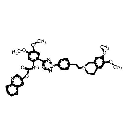 COc1cc2c(cc1OC)CN(CCc1ccc(-n3nnc(-c4cc(OC)c(OC)cc4NC(=O)Oc4cnc5ccccc5c4)n3)cc1)CC2